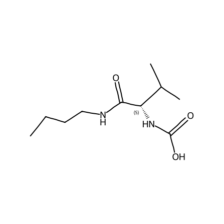 CCCCNC(=O)[C@@H](NC(=O)O)C(C)C